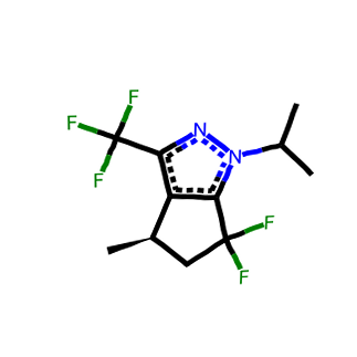 CC(C)n1nc(C(F)(F)F)c2c1C(F)(F)C[C@H]2C